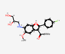 CNC(=O)c1c(-c2ccc(F)cc2)oc2cc(NCC(O)CO)c(OC(C)C)cc12